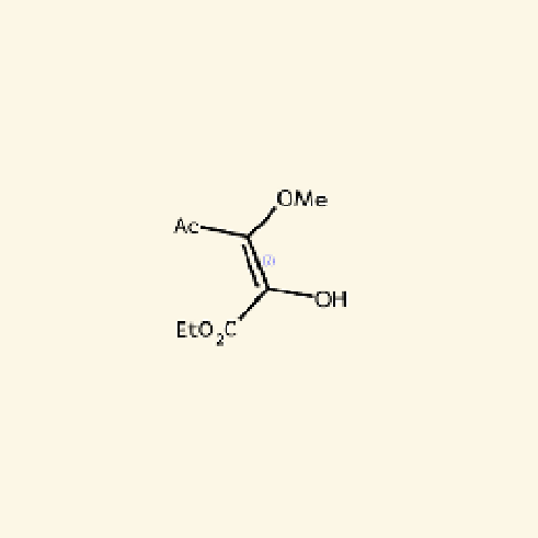 CCOC(=O)/C(O)=C(/OC)C(C)=O